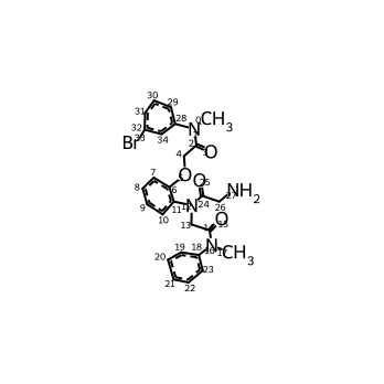 CN(C(=O)COc1ccccc1N(CC(=O)N(C)c1ccccc1)C(=O)CN)c1cccc(Br)c1